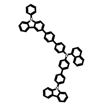 c1ccc(-n2c3ccccc3c3cc(-c4ccc(-c5ccc(N(c6ccc(-c7ccc(-n8c9ccccc9c9ccccc98)cc7)cc6)c6cccc7ccccc67)cc5)cc4)ccc32)cc1